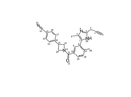 C#CCc1nc(C)c(-c2cc(C(=O)N3CC(c4ccc(C#N)cc4)C3)ccc2C)[nH]1